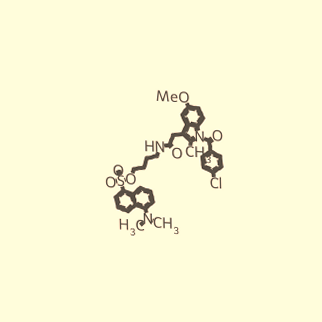 COc1ccc2c(c1)c(CC(=O)NCCCCOS(=O)(=O)c1cccc3c(N(C)C)cccc13)c(C)n2C(=O)c1ccc(Cl)cc1